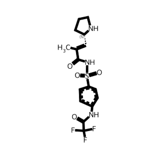 CC(=C[C@@H]1CCCN1)C(=O)NS(=O)(=O)c1ccc(NC(=O)C(F)(F)F)cc1